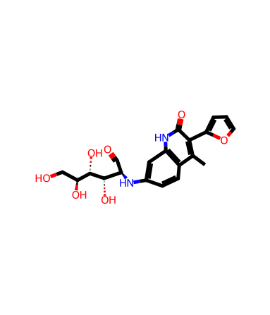 Cc1c(-c2ccco2)c(=O)[nH]c2cc(N[C@H](C=O)[C@H](O)[C@@H](O)[C@@H](O)CO)ccc12